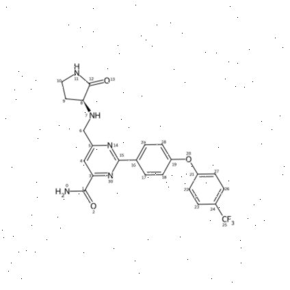 NC(=O)c1cc(CN[C@H]2CCNC2=O)nc(-c2ccc(Oc3ccc(C(F)(F)F)cc3)cc2)n1